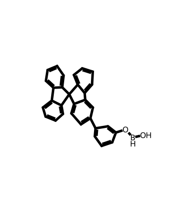 OBOc1cccc(-c2ccc3c(c2)-c2ccccc2C32c3ccccc3-c3ccccc32)c1